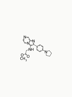 COC(=O)CNc1c(-c2ccc(N3CCCC3)cc2)nc2cnccn12